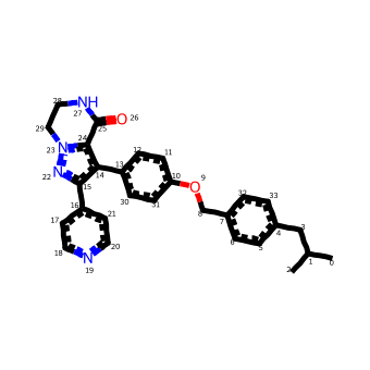 CC(C)Cc1ccc(COc2ccc(-c3c(-c4ccncc4)nn4c3C(=O)NCC4)cc2)cc1